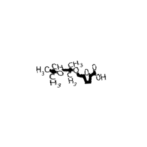 CC(C)(C)OCC(C)(C)OCc1ccc(C(=O)O)o1